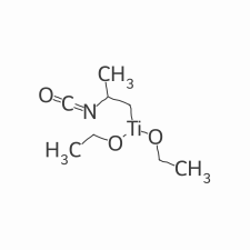 CC[O][Ti]([CH2]C(C)N=C=O)[O]CC